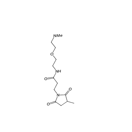 CNCCOCCNC(=O)CCN1C(=O)CC(C)C1=O